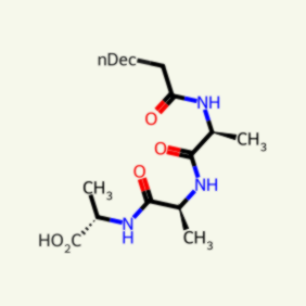 CCCCCCCCCCCC(=O)N[C@@H](C)C(=O)N[C@@H](C)C(=O)N[C@@H](C)C(=O)O